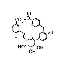 CCOc1ccc(Cc2cc([C@@H]3O[C@H](CSc4cc(C(=O)O)ccc4F)[C@H](O)[C@@H](O)[C@H]3O)ccc2Cl)cc1